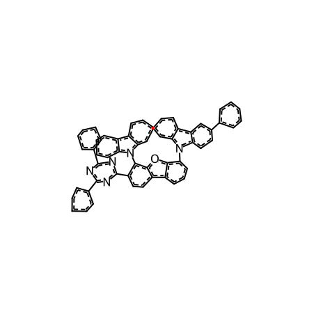 c1ccc(-c2ccc3c(c2)c2ccccc2n3-c2cccc3c2oc2c(-n4c5ccccc5c5ccccc54)c(-c4nc(-c5ccccc5)nc(-c5ccccc5)n4)ccc23)cc1